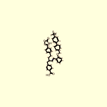 O=C(O)c1ccc(CC(/C=C/c2ccccc2OCc2ccc(-c3ccc(C(F)(F)F)cc3)cc2)CCc2ccc(-c3noc(=O)[nH]3)cc2)cc1